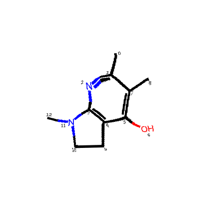 Cc1nc2c(c(O)c1C)CCN2C